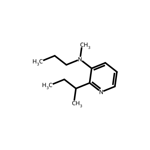 CCCN(C)c1cccnc1C(C)CC